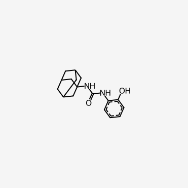 O=C(Nc1ccccc1O)NC12CC3CC(CC(C3)C1)C2